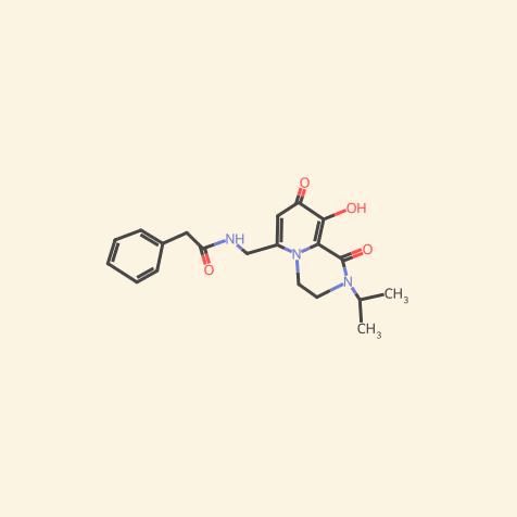 CC(C)N1CCn2c(CNC(=O)Cc3ccccc3)cc(=O)c(O)c2C1=O